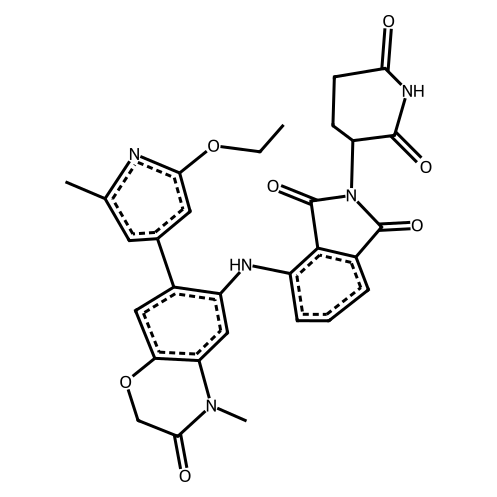 CCOc1cc(-c2cc3c(cc2Nc2cccc4c2C(=O)N(C2CCC(=O)NC2=O)C4=O)N(C)C(=O)CO3)cc(C)n1